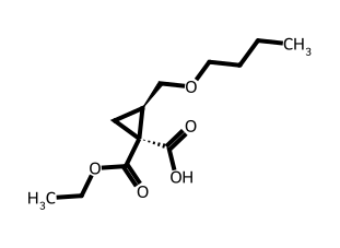 CCCCOC[C@@H]1C[C@]1(C(=O)O)C(=O)OCC